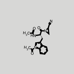 CC(=O)N[C@@H](Cc1cn(C(C)=O)c2ccccc12)C(=O)N1CC1C#N